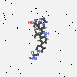 CNC(=O)CN1CCC(c2ccc3[nH]c(-c4cc(C(C)(C)O)c5nccn5c4)c(C(C)C)c3c2)CC1